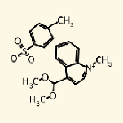 COC(OC)c1cc[n+](C)c2ccccc12.Cc1ccc(S(=O)(=O)[O-])cc1